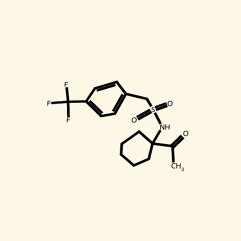 CC(=O)C1(NS(=O)(=O)Cc2ccc(C(F)(F)F)cc2)CCCCC1